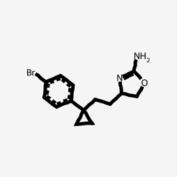 NC1=NC(CCC2(c3ccc(Br)cc3)CC2)CO1